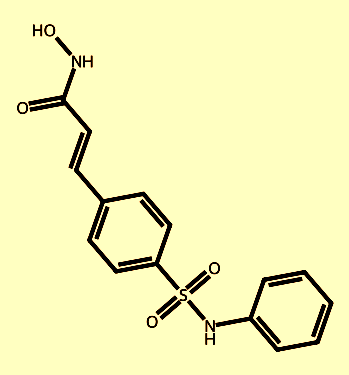 O=C(C=Cc1ccc(S(=O)(=O)Nc2ccccc2)cc1)NO